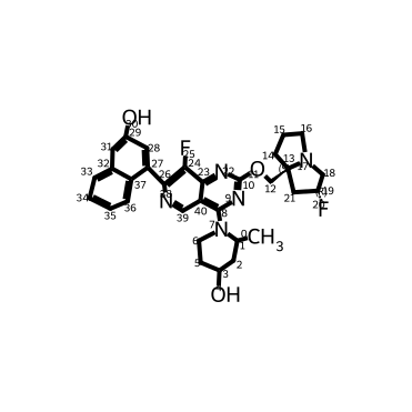 CC1CC(O)CCN1c1nc(OC[C@@]23CCCN2C[C@H](F)C3)nc2c(F)c(-c3cc(O)cc4ccccc34)ncc12